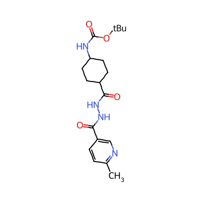 Cc1ccc(C(=O)NNC(=O)C2CCC(NC(=O)OC(C)(C)C)CC2)cn1